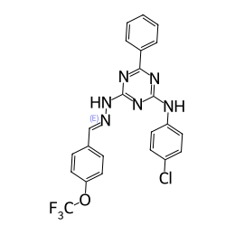 FC(F)(F)Oc1ccc(/C=N/Nc2nc(Nc3ccc(Cl)cc3)nc(-c3ccccc3)n2)cc1